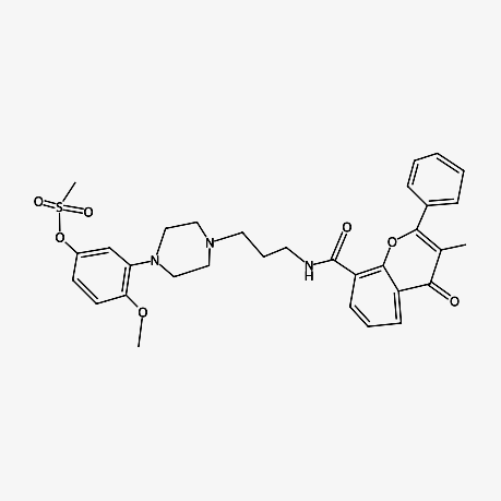 COc1ccc(OS(C)(=O)=O)cc1N1CCN(CCCNC(=O)c2cccc3c(=O)c(C)c(-c4ccccc4)oc23)CC1